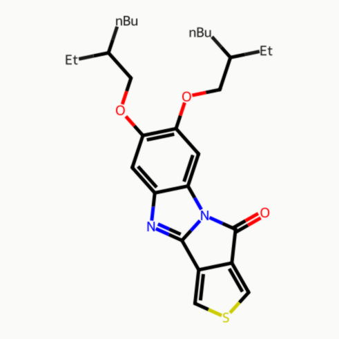 CCCCC(CC)COc1cc2nc3n(c2cc1OCC(CC)CCCC)C(=O)c1cscc1-3